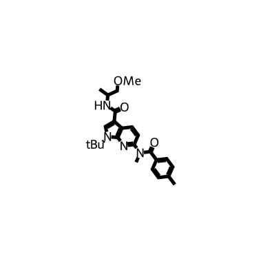 COCC(C)NC(=O)c1cn(C(C)(C)C)c2nc(N(C)C(=O)c3ccc(C)cc3)ccc12